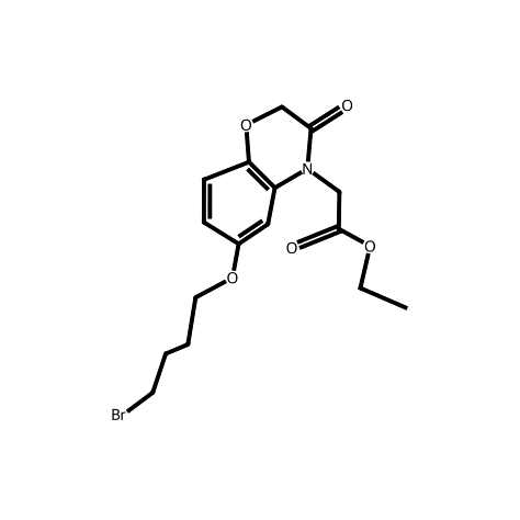 CCOC(=O)CN1C(=O)COc2ccc(OCCCCBr)cc21